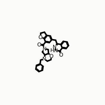 O=C(c1cc(Cc2n[nH]c(=O)c3ccccc23)cc2c1OCC2)N1CC2OCCN(Cc3ccccc3)C2C1